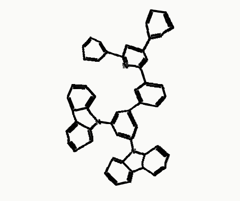 C1=CC2c3ccccc3N(c3cc(-c4cccc(-c5cc(-c6ccccc6)cc(-c6ccccc6)n5)c4)cc(-n4c5ccccc5c5ccccc54)c3)C2C=C1